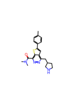 Cc1ccc(-c2cc3c(CC4CCNC4)nnc(C(=O)N(C)C)c3s2)cc1